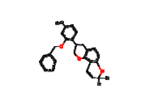 CCC1(CC)C=Cc2c(ccc3c2OCC(c2ccc(OC)cc2OCc2ccccc2)C3)O1